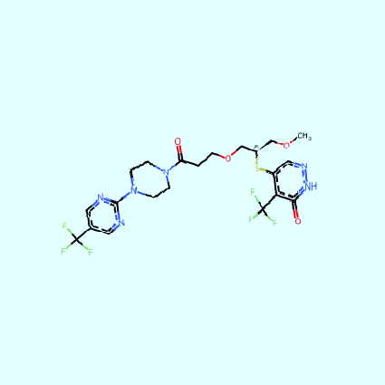 COC[C@H](COCCC(=O)N1CCN(c2ncc(C(F)(F)F)cn2)CC1)Sc1cn[nH]c(=O)c1C(F)(F)F